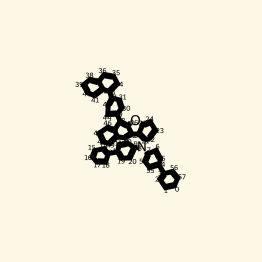 c1ccc(-c2ccc(N(c3ccc(-c4ccccc4)cc3)c3cccc4oc5c(-c6ccc(-c7cccc8ccccc78)cc6)c6ccccc6cc5c34)cc2)cc1